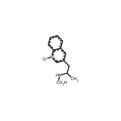 CC(Cc1cc2ccccc2[n+]([O-])c1)NC(=O)O